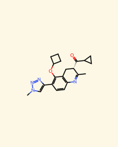 CC1=Nc2ccc(-c3cn(C)nn3)c(OC3CCC3)c2C[C@@H]1C(=O)C1CC1